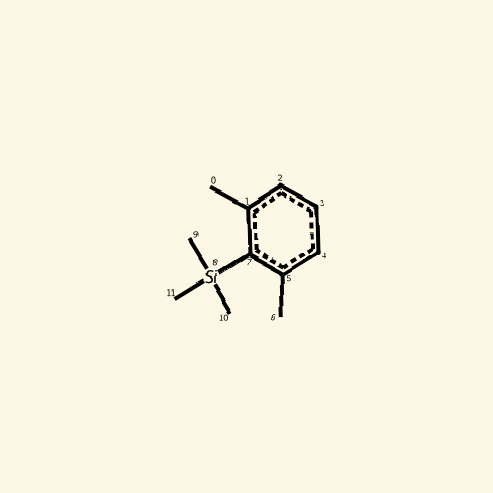 Cc1[c]ccc(C)c1[Si](C)(C)C